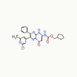 Cc1cc(-c2nc3c(=O)cc(NC(=O)OCC4CCCC4)[nH]c3nc2-c2ccccc2)cc(Cl)n1